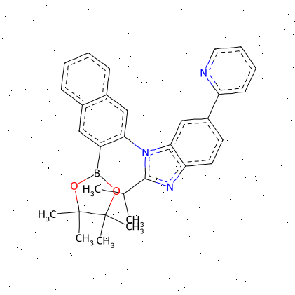 CC(C)c1nc2ccc(-c3ccccn3)cc2n1-c1cc2ccccc2cc1B1OC(C)(C)C(C)(C)O1